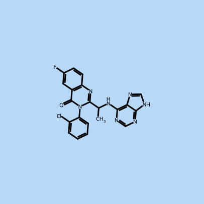 CC(Nc1ncnc2[nH]cnc12)c1nc2ccc(F)cc2c(=O)n1-c1ccccc1Cl